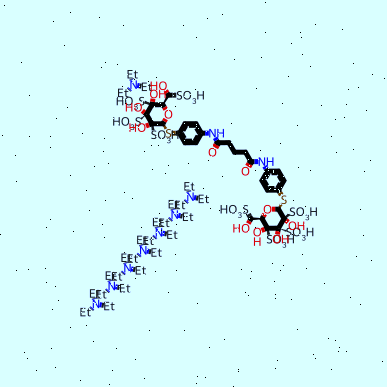 CCN(CC)CC.CCN(CC)CC.CCN(CC)CC.CCN(CC)CC.CCN(CC)CC.CCN(CC)CC.CCN(CC)CC.CCN(CC)CC.O=C(CCCC(=O)Nc1ccc(S[C@@H]2O[C@H](C(O)S(=O)(=O)O)[C@](O)(S(=O)(=O)O)[C@@](O)(S(=O)(=O)O)[C@]2(O)S(=O)(=O)O)cc1)Nc1ccc(S[C@@H]2O[C@H](C(O)S(=O)(=O)O)[C@](O)(S(=O)(=O)O)[C@@](O)(S(=O)(=O)O)[C@]2(O)S(=O)(=O)O)cc1